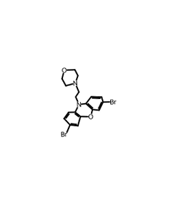 Brc1ccc2c(c1)Oc1cc(Br)ccc1N2CCN1CCOCC1